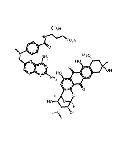 CN(Cc1cnc2nc(N)nc(N)c2n1)c1ccc(C(=O)N[C@@H](CCC(=O)O)C(=O)O)cc1.CO[C@@H]1C[C@](C)(O)Cc2cc3c(c(O)c21)C(=O)c1c(O)cc2c(c1C3=O)O[C@@H]1O[C@@]2(C)[C@H](O)[C@@H](N(C)C)[C@@H]1O